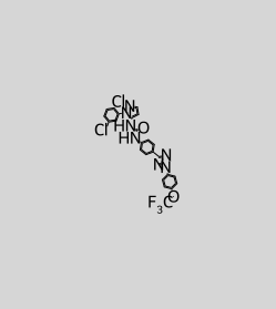 O=C(Nc1ccc(-c2ncn(-c3ccc(OC(F)(F)F)cc3)n2)cc1)Nc1ccnn1-c1cc(Cl)ccc1Cl